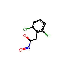 O=NC(=O)Cc1c(Cl)cccc1Cl